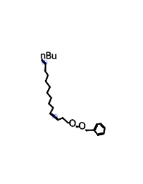 CCCC/C=C/CCCCCCCC/C=C\CCOCOCc1ccccc1